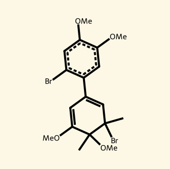 COC1=CC(c2cc(OC)c(OC)cc2Br)=CC(C)(Br)C1(C)OC